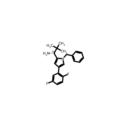 CC(C)(C)[C@@H](N)c1cc(-c2cc(F)ccc2F)cn1Cc1ccccc1